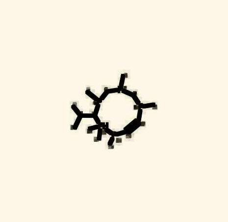 CC(C)C1P(C)CP(C)CP(C)C#CP(C)[PH]1(C)C